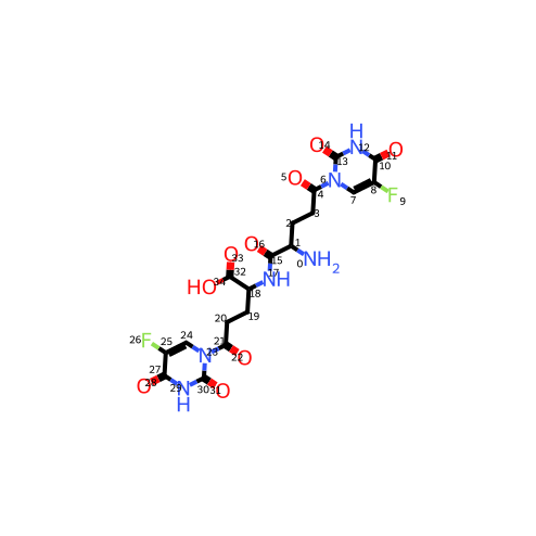 NC(CCC(=O)n1cc(F)c(=O)[nH]c1=O)C(=O)NC(CCC(=O)n1cc(F)c(=O)[nH]c1=O)C(=O)O